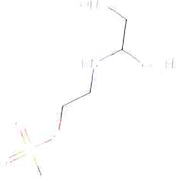 CS(=O)(=O)OCCNC(CC=O)C(=O)O